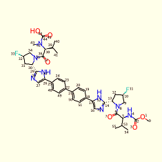 COC(=O)N[C@H](C(=O)N1C[C@H](F)C[C@H]1c1ncc(-c2ccc(-c3ccc(-c4cnc([C@@H]5C[C@@H](F)CN5C(=O)[C@H](C(C)C)N(C)C(=O)O)[nH]4)cc3)cc2)[nH]1)C(C)C